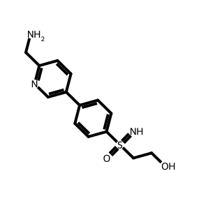 N=S(=O)(CCO)c1ccc(-c2ccc(CN)nc2)cc1